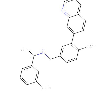 COc1cccc([C@@H](C)NCc2ccc(OC)c(-c3ccc4cccnc4c3)c2)c1